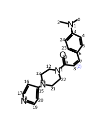 CN(C)c1ccc(/C=C\C(=O)N2CCN(c3ccncc3)CC2)cc1